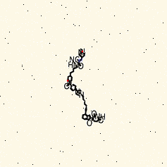 N#C/C(=C\c1ccnnc1)C(=O)NCCCCC1CCN(C(=O)c2ccc(N3CCN(CCCCCC#Cc4cccc5c4CN(C4CCC(=O)NC4=O)C5=O)CC3)cc2)CC1